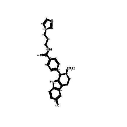 CCOC(=O)N1CCc2c([nH]c3ccc(Cl)cc23)C1c1ccc(C(=O)NCCCn2ccnc2)cc1